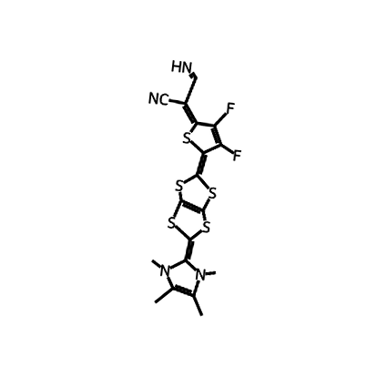 CC1=C(C)N(C)C(=C2SC3=C(S2)SC(=c2s/c(=C(\C#N)C=N)c(F)c2F)S3)N1C